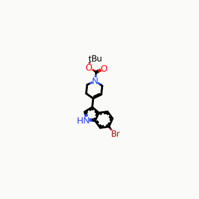 CC(C)(C)OC(=O)N1CC=C(c2c[nH]c3cc(Br)ccc23)CC1